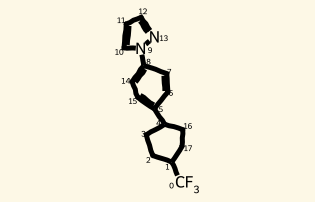 FC(F)(F)C1CCC(c2ccc(-n3cccn3)cc2)CC1